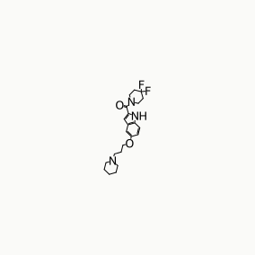 O=C(c1cc2cc(OCCCN3CCCCC3)ccc2[nH]1)N1CCC(F)(F)CC1